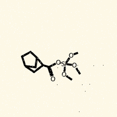 CO[Si](OC)(OC)OC(=O)C1CC2CCC1C2